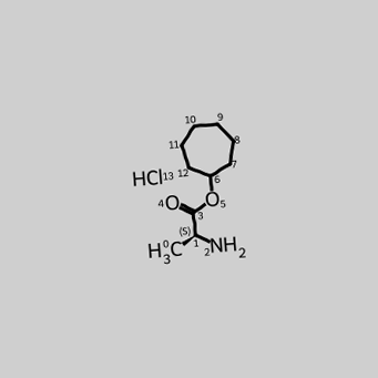 C[C@H](N)C(=O)OC1CCCCCC1.Cl